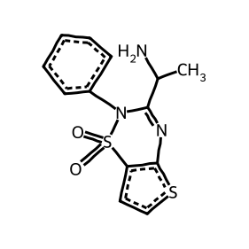 CC(N)C1=Nc2sccc2S(=O)(=O)N1c1ccccc1